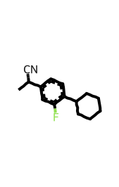 CC(C#N)c1ccc(C2CCCCC2)c(F)c1